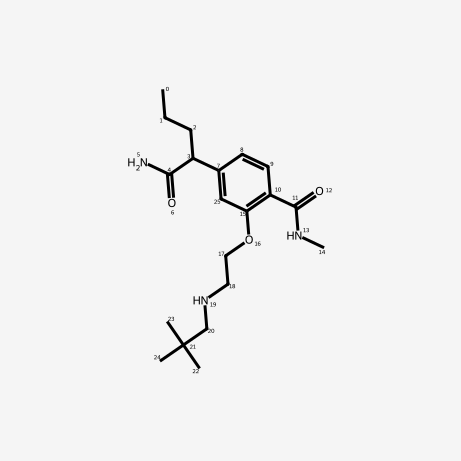 CCCC(C(N)=O)c1ccc(C(=O)NC)c(OCCNCC(C)(C)C)c1